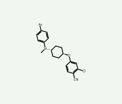 CC(=O)c1ccc(N(C)[C@H]2CC[C@H](Oc3ccc(C#N)c(Cl)c3)CC2)cc1